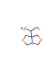 CC(C)C12COCN1COC2